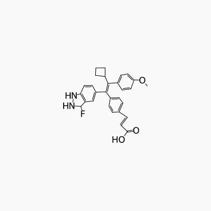 COc1ccc(/C(=C(\c2ccc(/C=C/C(=O)O)cc2)c2ccc3c(c2)C(F)NN3)C2CCC2)cc1